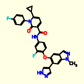 Cn1ncc2cc(Oc3ccc(NC(=O)c4ccc(C5CC5)n(-c5ccc(F)cc5)c4=O)cc3F)c(-c3cn[nH]c3)cc21